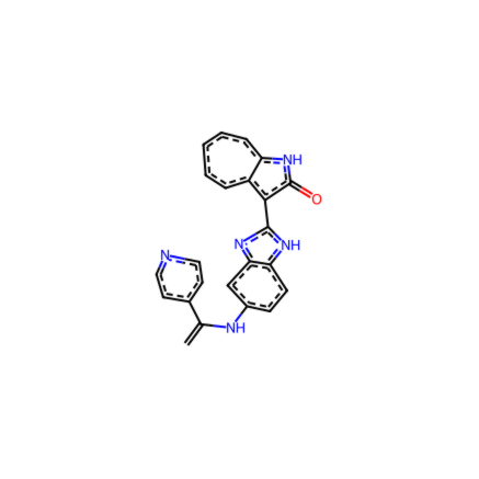 C=C(Nc1ccc2[nH]c(-c3c4cccccc-4[nH]c3=O)nc2c1)c1ccncc1